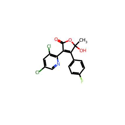 CC1(O)OC(=O)C(c2ncc(Cl)cc2Cl)=C1c1ccc(F)cc1